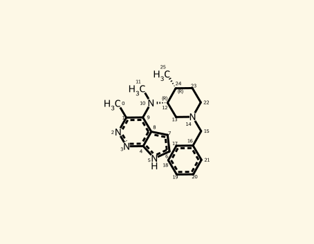 Cc1nnc2[nH]ccc2c1N(C)[C@H]1CN(Cc2ccccc2)CC[C@H]1C